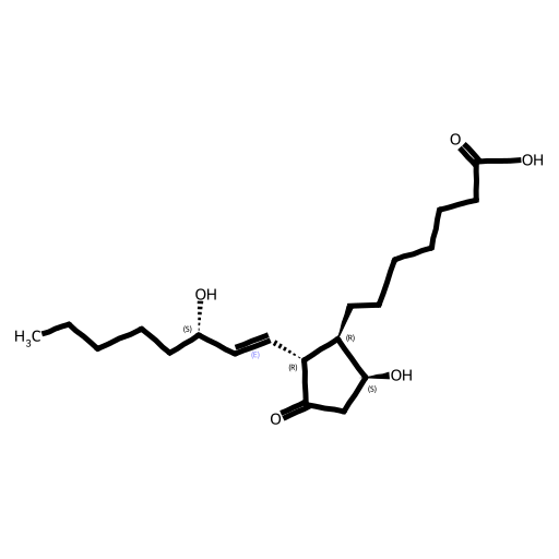 CCCCC[C@H](O)/C=C/[C@H]1C(=O)C[C@H](O)[C@@H]1CCCCCCC(=O)O